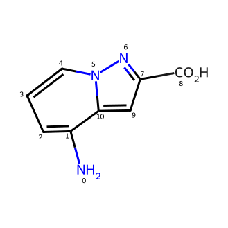 Nc1cccn2nc(C(=O)O)cc12